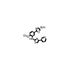 Br.CCOc1ccc(-c2ncco2)cc1Nc1nc(-c2cccnc2)cs1